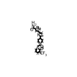 NC(=O)C1CC(c2csc(C3CCN(C(=O)Cn4cccc(C(F)(F)F)c4=O)CC3)n2)=NO1